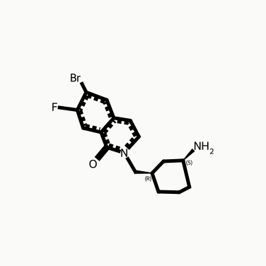 N[C@H]1CCC[C@@H](Cn2ccc3cc(Br)c(F)cc3c2=O)C1